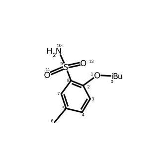 CCC(C)Oc1ccc(C)cc1S(N)(=O)=O